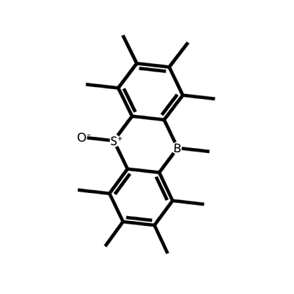 CB1c2c(C)c(C)c(C)c(C)c2[S+]([O-])c2c(C)c(C)c(C)c(C)c21